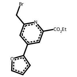 CCOC(=O)c1cc(-c2ccco2)cc(CBr)n1